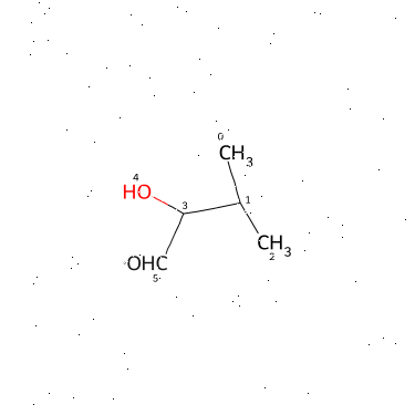 CC(C)C(O)[C]=O